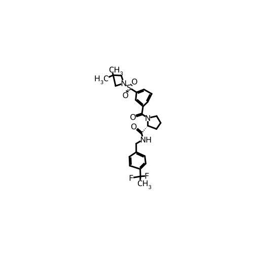 CC1(C)CN(S(=O)(=O)c2cccc(C(=O)N3CCC[C@@H]3C(=O)NCc3ccc(C(C)(F)F)cc3)c2)C1